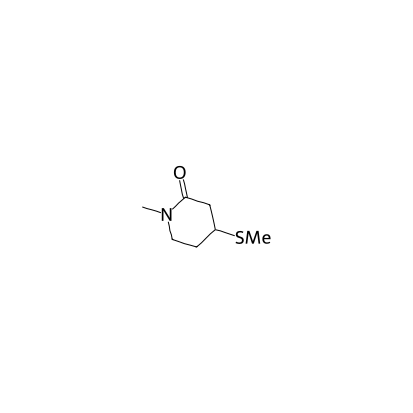 CSC1CCN(C)C(=O)C1